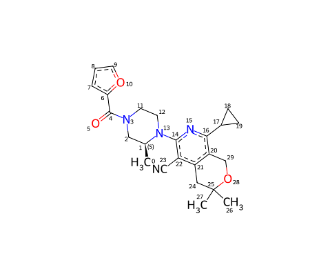 C[C@H]1CN(C(=O)c2ccco2)CCN1c1nc(C2CC2)c2c(c1C#N)CC(C)(C)OC2